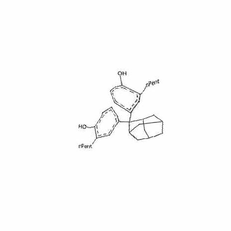 CCCCCc1cc(C2(c3ccc(O)c(CCCCC)c3)C3CC4CC(C3)CC2C4)ccc1O